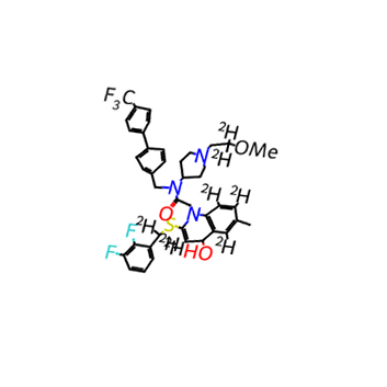 [2H]C1=C(SC([2H])([2H])c2cccc(F)c2F)N(CC(=O)N(Cc2ccc(-c3ccc(C(F)(F)F)cc3)cc2)C2CCN(CC([2H])([2H])OC)CC2)c2c([2H])c([2H])c(C)c([2H])c2C1O